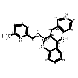 Cc1cccc(CO[C@@H]2Oc3ccccc3C(O)[C@@H]2Cc2cccnc2)n1